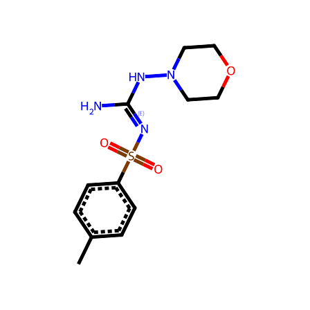 Cc1ccc(S(=O)(=O)/N=C(\N)NN2CCOCC2)cc1